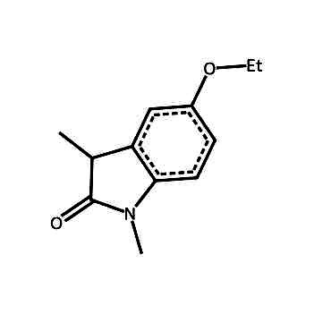 CCOc1ccc2c(c1)C(C)C(=O)N2C